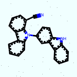 N#Cc1cccc2c3ccccc3n(-c3ccc4[nH]c5ccccc5c4c3)c12